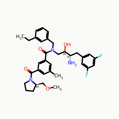 CCc1cccc(CN(C[C@@H](O)[C@@H](N)Cc2cc(F)cc(F)c2)C(=O)c2cc(C)cc(C(=O)N3CCC[C@@H]3COC)c2)c1